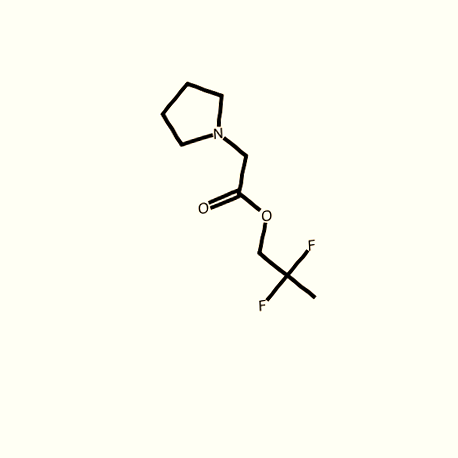 CC(F)(F)COC(=O)CN1CCCC1